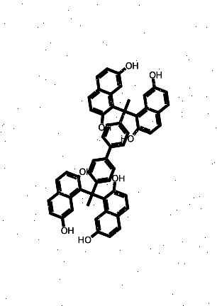 CC(c1ccc(-c2ccc(C(C)(c3c(O)ccc4ccc(O)cc34)c3c(O)ccc4ccc(O)cc34)cc2)cc1)(c1c(O)ccc2ccc(O)cc12)c1c(O)ccc2ccc(O)cc12